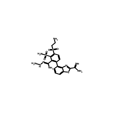 N=C(N)c1nc2c(-c3ccc(S(=O)(=O)CCN)c(S(N)(=O)=O)c3/C(N)=N/NN)cccc2s1